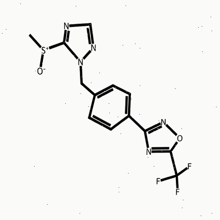 C[S+]([O-])c1ncnn1Cc1ccc(-c2noc(C(F)(F)F)n2)cc1